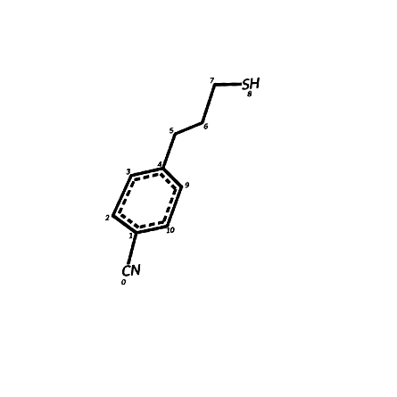 N#Cc1ccc(CCCS)cc1